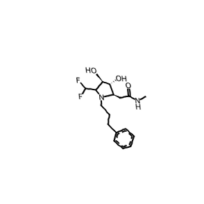 CNC(=O)C[C@@H]1[C@@H](O)[C@H](O)C(C(F)F)N1CCCc1ccccc1